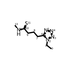 CCn1nnnc1CCCC(=S)NC